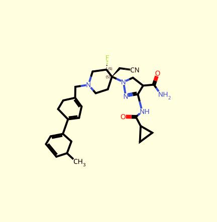 CC1C=CC=C(C2=CC=C(CN3CC[C@@](CC#N)(N4CC(C(N)=O)C(NC(=O)C5CC5)=N4)[C@@H](F)C3)CC2)C1